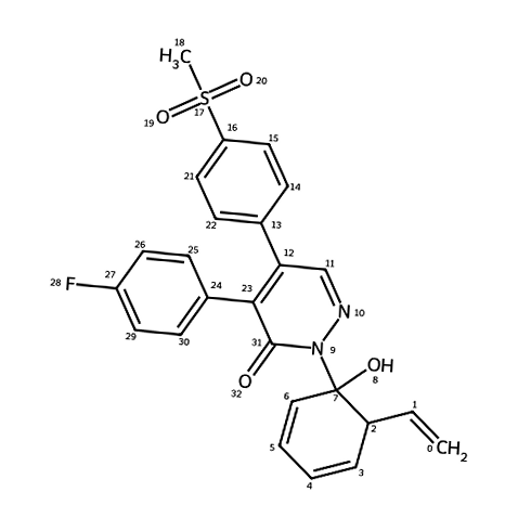 C=CC1C=CC=CC1(O)n1ncc(-c2ccc(S(C)(=O)=O)cc2)c(-c2ccc(F)cc2)c1=O